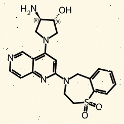 N[C@@H]1CN(c2cc(N3CCS(=O)(=O)c4ccccc4C3)nc3ccncc23)C[C@H]1O